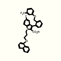 O=C(O)c1c(-c2ccccc2COc2cccc(C(F)(F)F)c2)c2cc(F)ccc2n1CCCOc1cccc2ccccc12